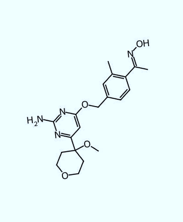 COC1(c2cc(OCc3ccc(C(C)=NO)c(C)c3)nc(N)n2)CCOCC1